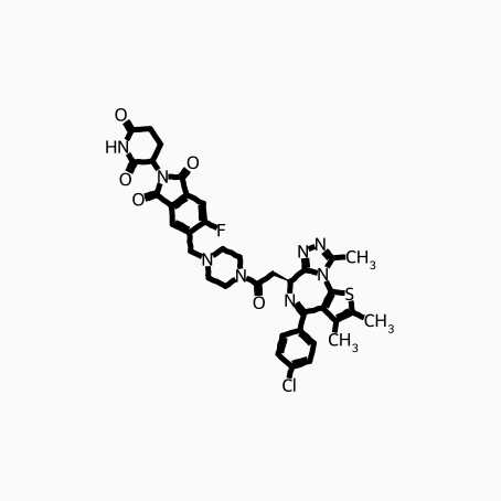 Cc1sc2c(c1C)C(c1ccc(Cl)cc1)=N[C@@H](CC(=O)N1CCN(Cc3cc4c(cc3F)C(=O)N(C3CCC(=O)NC3=O)C4=O)CC1)c1nnc(C)n1-2